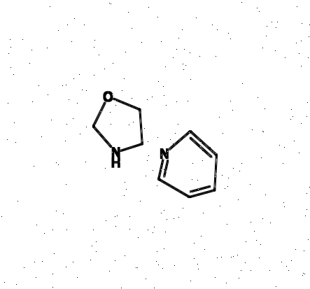 C1COCN1.c1ccncc1